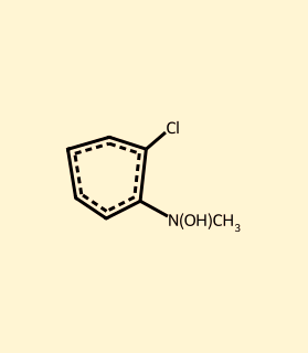 CN(O)c1ccccc1Cl